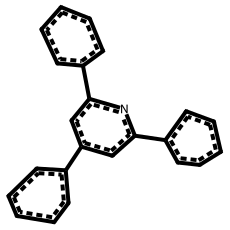 c1ccc(-c2cc(-c3ccccc3)nc(-c3ccccc3)c2)cc1